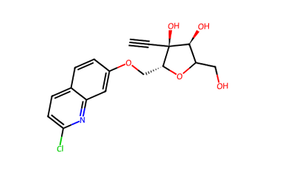 C#C[C@@]1(O)[C@@H](COc2ccc3ccc(Cl)nc3c2)OC(CO)[C@@H]1O